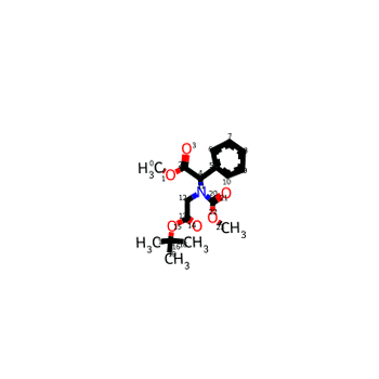 COC(=O)C(c1ccccc1)N(CC(=O)OC(C)(C)C)C(=O)OC